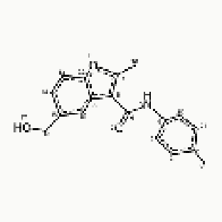 Cc1ccc(NC(=O)c2c(C)oc3ccc(CO)cc23)cc1